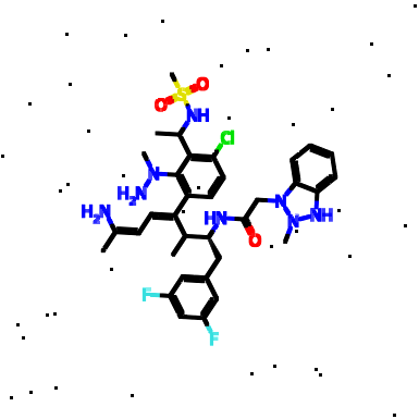 C/C(N)=C/C=C(/c1ccc(Cl)c(C(C)NS(C)(=O)=O)c1N(C)N)C(C)[C@H](Cc1cc(F)cc(F)c1)NC(=O)CN1c2ccccc2NN1C